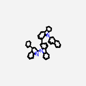 c1ccc(-c2cc(-n3c4ccccc4c4ccc(-c5cccc6c7ccccc7n(-c7ccc8ccccc8c7)c56)cc43)nc3ccccc23)cc1